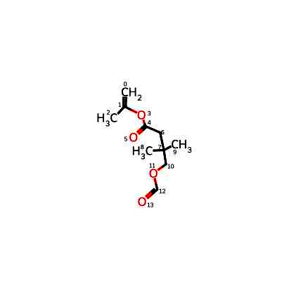 C=C(C)OC(=O)CC(C)(C)COC=O